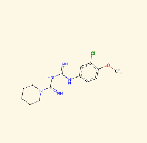 N=C(NC(=N)N1CCCCC1)Nc1ccc(OC(F)(F)F)c(Cl)c1